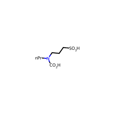 CCCN(CCCS(=O)(=O)O)C(=O)O